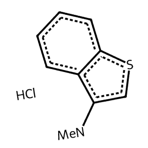 CNc1csc2ccccc12.Cl